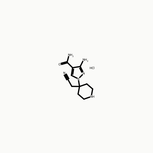 Cl.N#CCC1(n2cc(C(N)=O)c(N)n2)CCNCC1